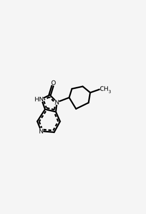 CC1CCC(n2c(=O)[nH]c3cnccc32)CC1